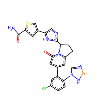 NC(=O)c1cc(-c2cnc(C3CCc4cc(-c5cc(Cl)ccc5N5C=NPN5)cc(=O)n43)[nH]2)cs1